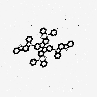 c1ccc(B2c3ccccc3Oc3c2ccc2c3-c3cc(-n4c5ccccc5c5c6oc7ccccc7c6ccc54)ccc3C23c2ccc(-n4c5ccccc5c5c6oc7ccccc7c6ccc54)cc2-c2c3ccc3c2Oc2ccccc2B3c2ccccc2)cc1